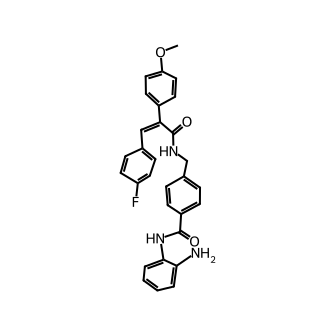 COc1ccc(C(=Cc2ccc(F)cc2)C(=O)NCc2ccc(C(=O)Nc3ccccc3N)cc2)cc1